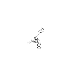 CN(C)c1ccc(C#Cc2ccc3c(=NO)cc(-c4cc5ccccc5cn4)oc3c2)cc1